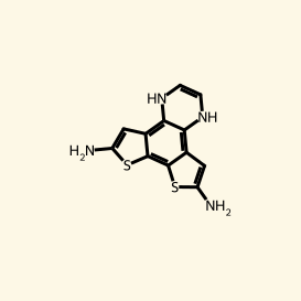 Nc1cc2c3c(c4cc(N)sc4c2s1)NC=CN3